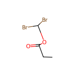 CCC(=O)OC(Br)Br